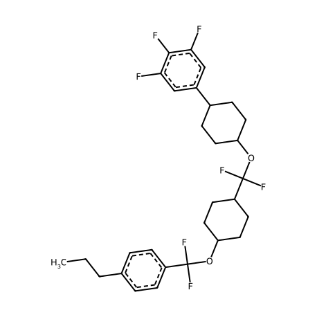 CCCc1ccc(C(F)(F)OC2CCC(C(F)(F)OC3CCC(c4cc(F)c(F)c(F)c4)CC3)CC2)cc1